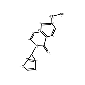 NNc1ccc2c(=O)n(C3c4ccoc43)ccc2c1